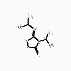 CC(C)N=C1SCC(=O)N1C(C)C